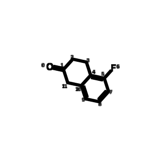 O=C1CCc2c(F)cccc2C1